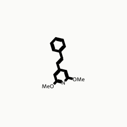 COc1cc(/C=C/c2ccccc2)cc(OC)n1